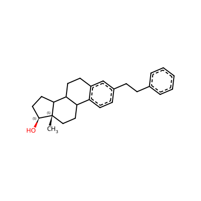 C[C@]12CCC3c4ccc(CCc5ccccc5)cc4CCC3C1CC[C@@H]2O